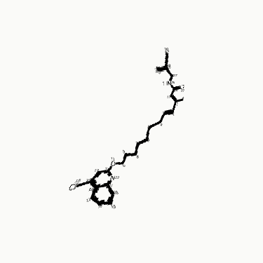 CC(C=CCCCCCCCOc1cc(Cl)c2ccccc2n1)=CC(=O)NCC(C)C